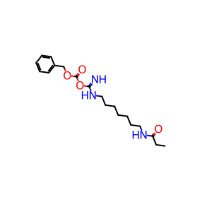 CCC(=O)NCCCCCCCNC(=N)OC(=O)OCc1ccccc1